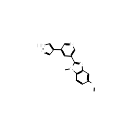 COc1ccc2c(c1)nc(-c1cncc(-c3cn[nH]c3)c1)n2C